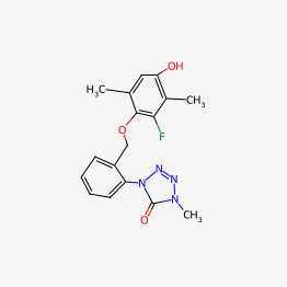 Cc1cc(O)c(C)c(F)c1OCc1ccccc1-n1nnn(C)c1=O